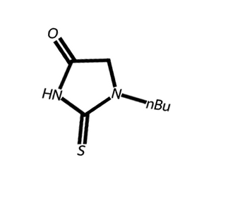 CCCCN1CC(=O)NC1=S